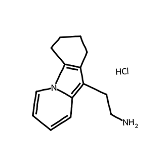 Cl.NCCc1c2c(n3ccccc13)CCCC2